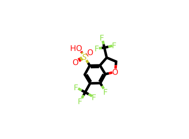 O=S(=O)(O)c1cc(C(F)(F)F)c(F)c2c1C(C(F)(F)F)CO2